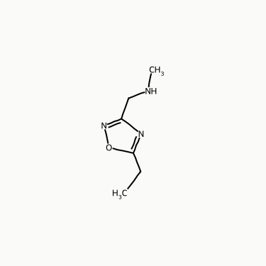 CCc1nc(CNC)no1